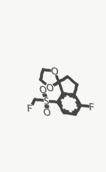 O=S(=O)(CF)c1ccc(F)c2c1C1(CC2)OCCO1